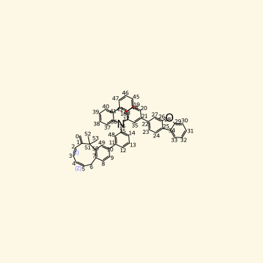 C=C1/C=C\C=C/Cc2ccc(-c3cccc(N(c4cccc(-c5ccc6c(c5)oc5ccccc56)c4)c4ccccc4-c4ccccc4)c3)cc2C1(C)C